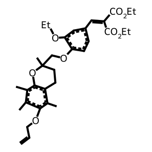 C=CCOc1c(C)c(C)c2c(c1C)CCC(C)(COc1ccc(C=C(C(=O)OCC)C(=O)OCC)cc1OCC)O2